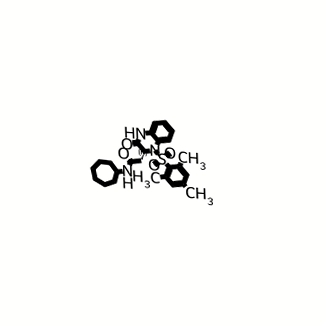 Cc1cc(C)c(S(=O)(=O)N2c3ccccc3NC(=O)[C@H]2CC(=O)NC2CCCCCC2)c(C)c1